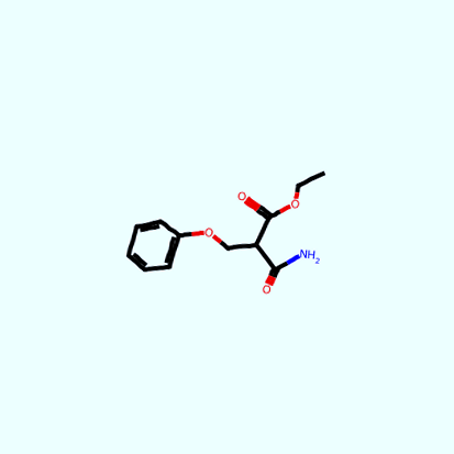 CCOC(=O)C(COc1ccccc1)C(N)=O